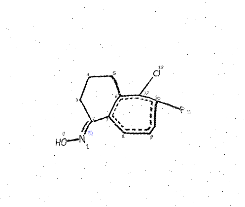 O/N=C1\CCCc2c1ccc(F)c2Cl